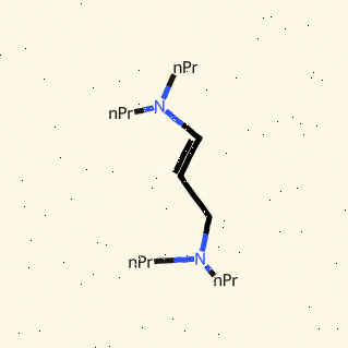 CCCN(C=CCN(CCC)CCC)CCC